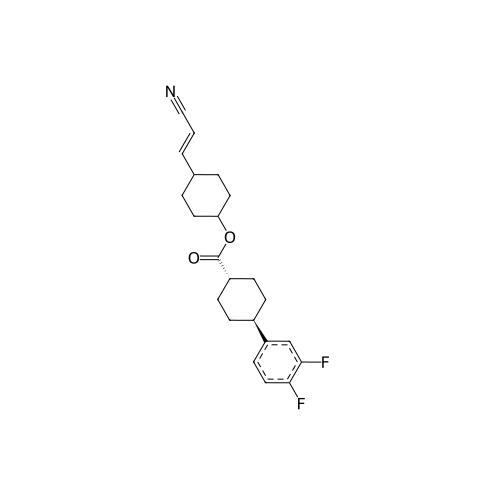 N#C/C=C/C1CCC(OC(=O)[C@H]2CC[C@H](c3ccc(F)c(F)c3)CC2)CC1